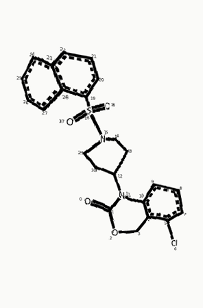 O=C1OCc2c(Cl)cccc2N1C1CCN(S(=O)(=O)c2cccc3ccccc23)CC1